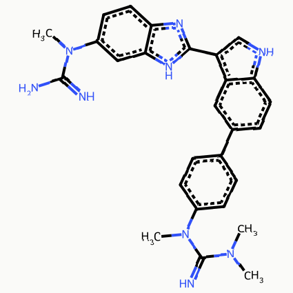 CN(C)C(=N)N(C)c1ccc(-c2ccc3[nH]cc(-c4nc5ccc(N(C)C(=N)N)cc5[nH]4)c3c2)cc1